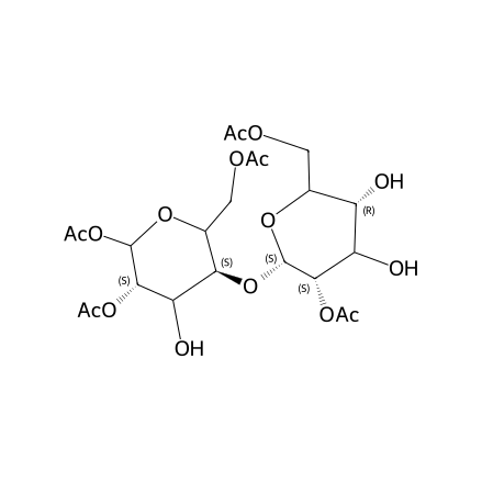 CC(=O)OCC1O[C@@H](O[C@@H]2C(COC(C)=O)OC(OC(C)=O)[C@@H](OC(C)=O)C2O)[C@@H](OC(C)=O)C(O)[C@H]1O